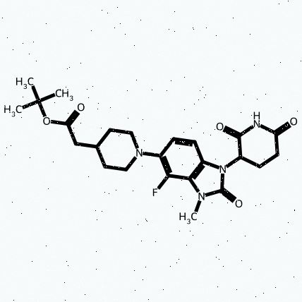 Cn1c(=O)n(C2CCC(=O)NC2=O)c2ccc(N3CCC(CC(=O)OC(C)(C)C)CC3)c(F)c21